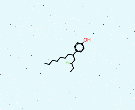 CCCCCCCC(CC(F)CC)c1ccc(O)cc1